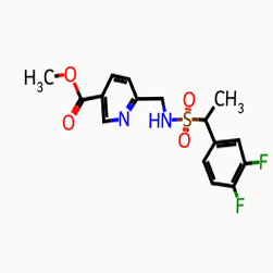 COC(=O)c1ccc(CNS(=O)(=O)C(C)c2ccc(F)c(F)c2)nc1